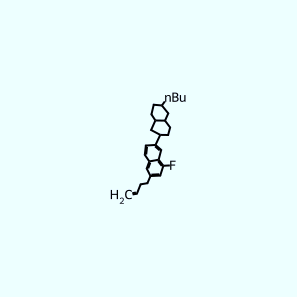 C=CCCc1cc(F)c2cc(C3CCC4CC(CCCC)CCC4C3)ccc2c1